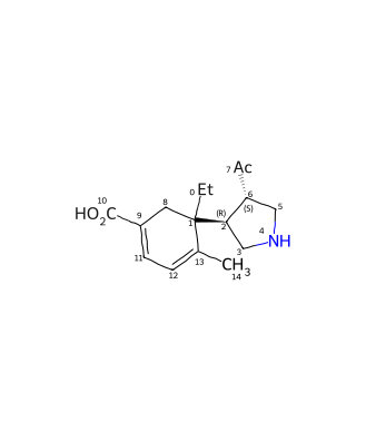 CCC1([C@@H]2CNC[C@H]2C(C)=O)CC(C(=O)O)=CC=C1C